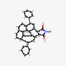 CC(C)n1c(=O)c2c3cc(-c4ccccc4)c4ccc5ccc6c(-c7ccccc7)cc(c2c1=O)c1c6c5c4c31